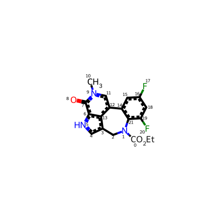 CCOC(=O)N1Cc2c[nH]c3c(=O)n(C)cc(c23)-c2cc(F)cc(F)c21